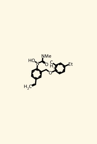 C=Cc1ccc(N(O)C(=O)NC)c(COc2ccc(CC)cc2C)c1